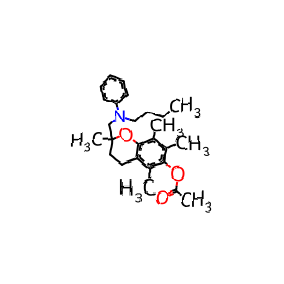 CCCCN(CC1(C)CCc2c(C)c(OC(C)=O)c(C)c(C)c2O1)c1ccccc1